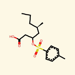 CCC[C@@H](C)CC(CC(=O)O)OS(=O)(=O)c1ccc(C)cc1